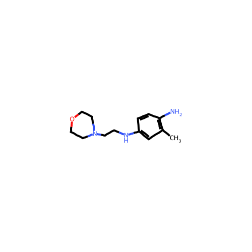 Cc1cc(NCCN2CCOCC2)ccc1N